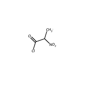 [CH2]C(C(=O)Cl)[N+](=O)[O-]